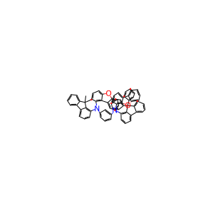 CC1(C)c2ccccc2-c2cccc(N(c3cccc(N(c4cccc5c4C(c4ccccc4)(c4ccccc4)c4ccccc4-5)c4cccc5c4oc4ccccc45)c3)c3cccc4oc5ccccc5c34)c21